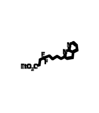 CCOC(=O)CCC(F)(F)CCCCc1ccc2cccnc2n1